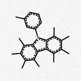 Cc1cccc(-n2c3c(C)c(C)c(C)c(C)c3c3c(C)c(C)c(C)c(C)c32)c1